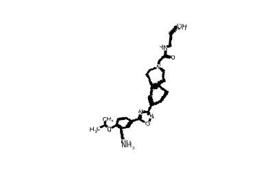 CC(C)Oc1ccc(-c2nc(-c3ccc4c(c3)CCN(CC(=O)NCCO)CC4)no2)cc1N